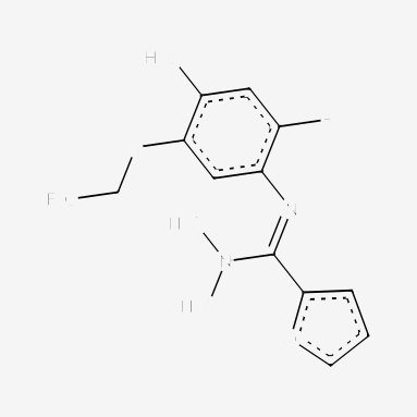 Cc1cc(F)c(N=C(c2ccco2)N(C)C)cc1SCC(F)(F)F